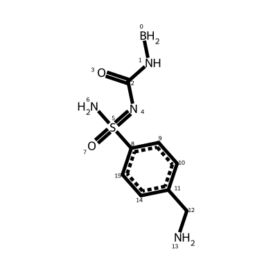 BNC(=O)N=S(N)(=O)c1ccc(CN)cc1